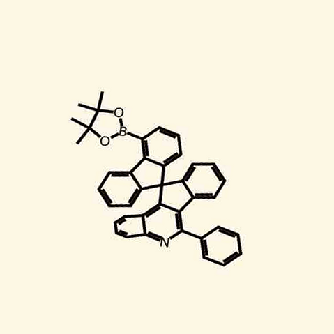 CC1(C)OB(c2cccc3c2-c2ccccc2C32c3ccccc3-c3c(-c4ccccc4)nc4ccccc4c32)OC1(C)C